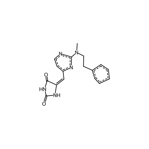 CN(CCc1ccccc1)c1nccc(C=C2NC(=O)NC2=O)n1